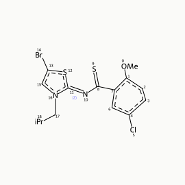 COc1ccc(Cl)cc1C(=S)/N=c1\sc(Br)cn1CC(C)C